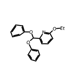 CCOc1cccc(C(Oc2ccccc2)Oc2ccccc2)n1